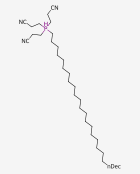 CCCCCCCCCCCCCCCCCCCCCCCCCCCCCC[PH](CCC#N)(CCC#N)CCC#N